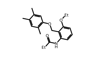 CCOc1cccc(NC(=O)CC)c1COc1cc(C)c(C)cc1C